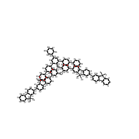 CC1(C)c2ccccc2-c2ccc(-c3ccc4c(c3)C(C)(C)c3cc(-c5ccc6c(c5)Oc5cc(-c7ccc8c(c7)C(C)(C)c7cc(-c9ccc%10c(c9)C(C)(C)c9ccccc9-%10)ccc7-8)ccc5N6c5c(-c6ccc(-c7ccccc7)cc6)cc(-c6ccccc6)cc5-c5ccc(-c6ccccc6)cc5)ccc3-4)cc21